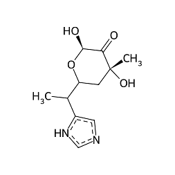 CC(c1cnc[nH]1)C1C[C@@](C)(O)C(=O)[C@H](O)O1